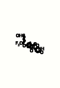 O=CCCCC(Oc1ccc2c(c1)C(=O)N(C1CCC(=O)NC1=O)C2=O)C(F)(F)F